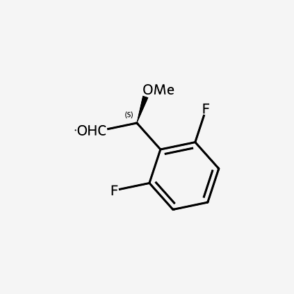 CO[C@H]([C]=O)c1c(F)cccc1F